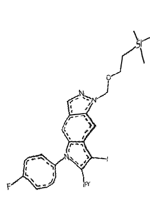 CC(C)c1c(I)c2cc3c(cnn3COCC[Si](C)(C)C)cc2n1-c1ccc(F)cc1